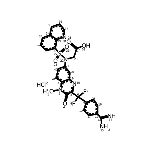 Cl.Cn1c(=O)c(C(F)(F)c2ccc(C(=N)N)cc2)nc2cc(N(CC(=O)O)S(=O)(=O)c3cccc4cccnc34)ccc21